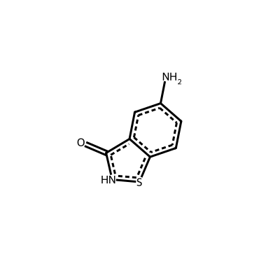 Nc1ccc2s[nH]c(=O)c2c1